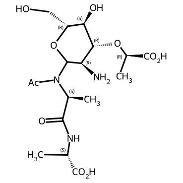 CC(=O)N(C1O[C@H](CO)[C@@H](O)[C@H](O[C@H](C)C(=O)O)[C@H]1N)[C@@H](C)C(=O)N[C@@H](C)C(=O)O